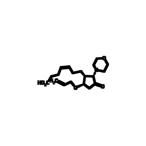 C=CCO[C@@H]1CC(=O)[C@@H](N2CCOCC2)[C@@H]1CC/C=C\CCC(=O)O